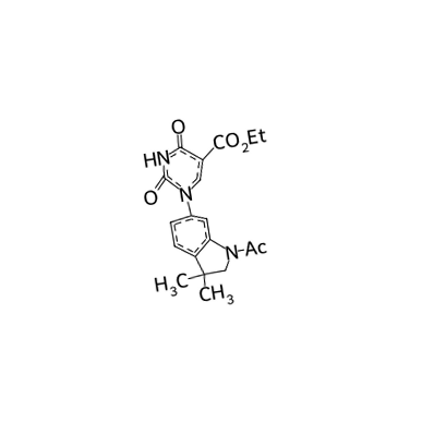 CCOC(=O)c1cn(-c2ccc3c(c2)N(C(C)=O)CC3(C)C)c(=O)[nH]c1=O